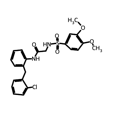 COc1ccc(S(=O)(=O)NCC(=O)Nc2ccccc2Cc2ccccc2Cl)cc1OC